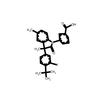 Cc1ccc2c(c1)C(C)(c1ccc(C(C)(C)C)c(F)c1)C(=O)N2c1cccc(C(=O)O)c1